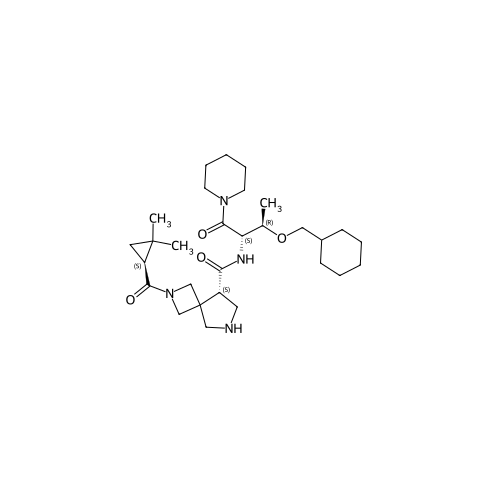 C[C@@H](OCC1CCCCC1)[C@H](NC(=O)[C@@H]1CNCC12CN(C(=O)[C@H]1CC1(C)C)C2)C(=O)N1CCCCC1